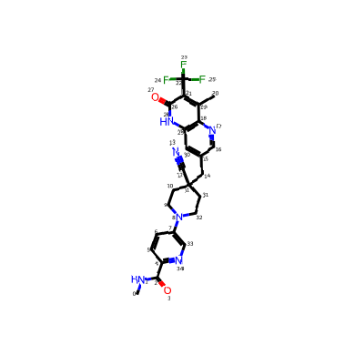 CNC(=O)c1ccc(N2CCC(C#N)(Cc3cnc4c(C)c(C(F)(F)F)c(=O)[nH]c4c3)CC2)cn1